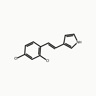 Clc1ccc(C=Cc2cc[nH]c2)c(Cl)c1